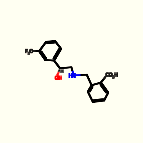 O=C(O)c1ccccc1CNC[C@H](O)c1cccc(C(F)(F)F)c1